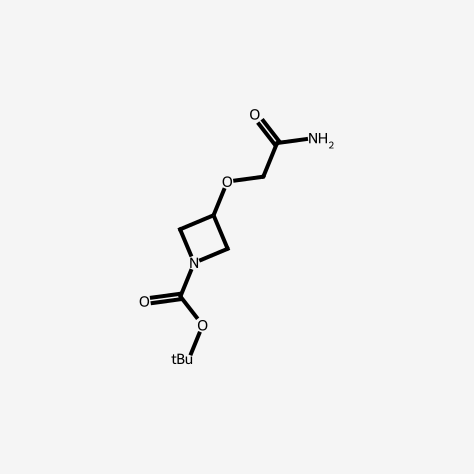 CC(C)(C)OC(=O)N1CC(OCC(N)=O)C1